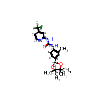 Cc1cc(B2OC(C)(C)C(C)(C)O2)ccc1NC(=O)Nc1cc(C(F)(F)F)ccn1